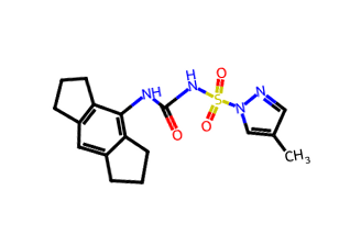 Cc1cnn(S(=O)(=O)NC(=O)Nc2c3c(cc4c2CCC4)CCC3)c1